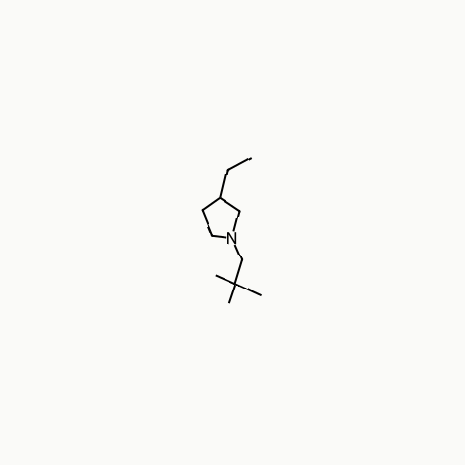 CCC1CCN(CC(C)(C)C)C1